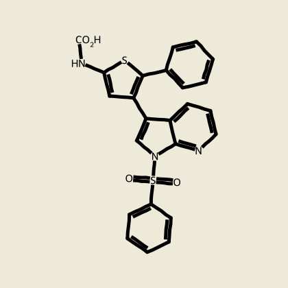 O=C(O)Nc1cc(-c2cn(S(=O)(=O)c3ccccc3)c3ncccc23)c(-c2ccccc2)s1